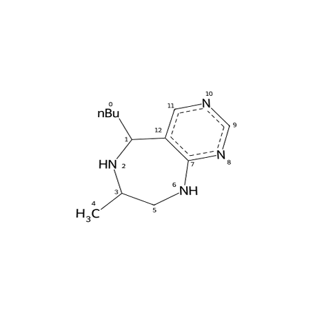 CCCCC1NC(C)CNc2ncncc21